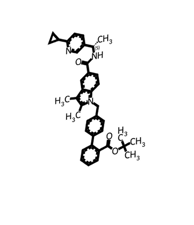 Cc1c(C)n(Cc2ccc(-c3ccccc3C(=O)OC(C)(C)C)cc2)c2ccc(C(=O)N[C@@H](C)c3ccc(C4CC4)nc3)cc12